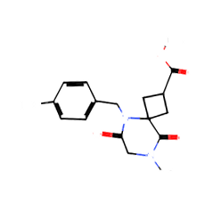 CC(C)N1CC(=O)N(Cc2ccc(C(F)(F)F)cc2)C2(CC(C(=O)OC(C)(C)C)C2)C1=O